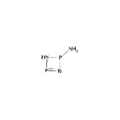 Np1np[nH]1